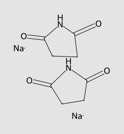 O=C1CCC(=O)N1.O=C1CCC(=O)N1.[Na].[Na]